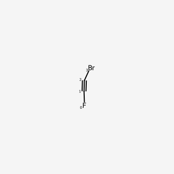 FC#CBr